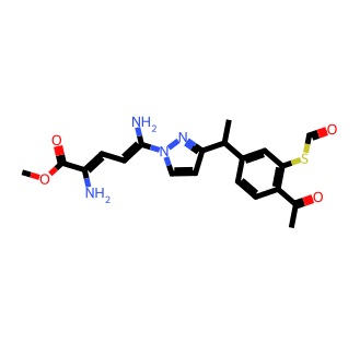 COC(=O)/C(N)=C/C=C(\N)n1ccc(C(C)c2ccc(C(C)=O)c(SC=O)c2)n1